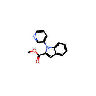 COC(=O)c1cc2ccccc2n1-c1cccnc1